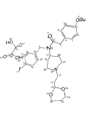 CC(C)COc1ccc(CC(=O)N(Cc2ccc(F)cc2)C2CCN(CCC3OCCCO3)CC2)cc1.O=C(O)C(=O)O